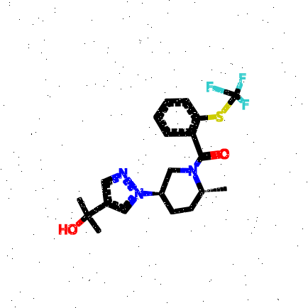 C[C@@H]1CC[C@@H](n2cc(C(C)(C)O)cn2)CN1C(=O)c1ccccc1SC(F)(F)F